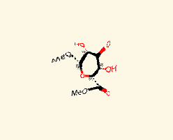 COC(=O)[C@@H]1O[C@H](OC)[C@H](O)C(=O)[C@@H]1O